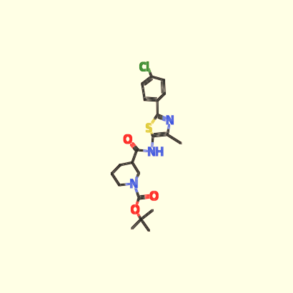 Cc1nc(-c2ccc(Cl)cc2)sc1NC(=O)C1CCCN(C(=O)OC(C)(C)C)C1